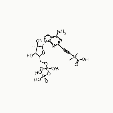 C[C@@]1(O)[C@H](O)[C@@H](COP(=O)(O)OP(=O)(O)O)O[C@H]1n1ccc2c(N)nc(C#C[N+](C)(C)C(=O)O)nc21